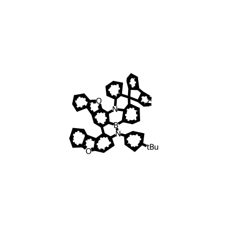 CC(C)(C)c1ccc(N2B3c4cccc5c4N(c4ccccc4C54c5ccccc5-c5ccccc54)c4c3c(cc3c4oc4ccccc43)-c3c2ccc2oc4ccccc4c32)cc1